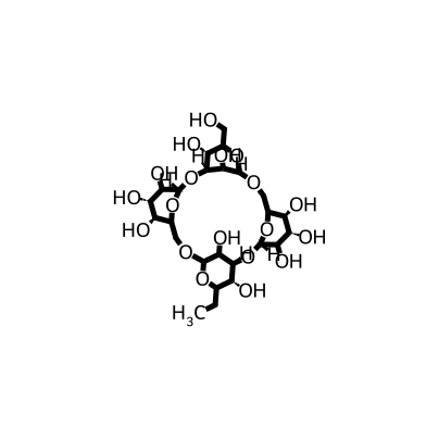 CCC1OC2OCC3O[C@@H](O[C@@H]4C(O)[C@@H](OCC5O[C@@H](O[C@H](C2O)[C@@H]1O)C(O)[C@@H](O)[C@@H]5O)OC(CO)[C@H]4O)C(O)[C@@H](O)[C@@H]3O